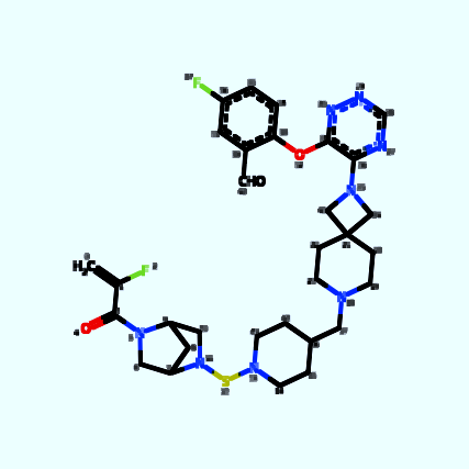 C=C(F)C(=O)N1CC2CC1CN2SN1CCC(CN2CCC3(CC2)CN(c2ncnnc2Oc2ccc(F)cc2C=O)C3)CC1